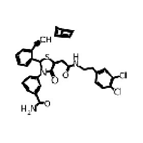 C#Cc1ccccc1C1SC(CC(=O)NCCc2ccc(Cl)c(Cl)c2)C(=O)N1c1cccc(C(N)=O)c1.c1cc2ccc1-2